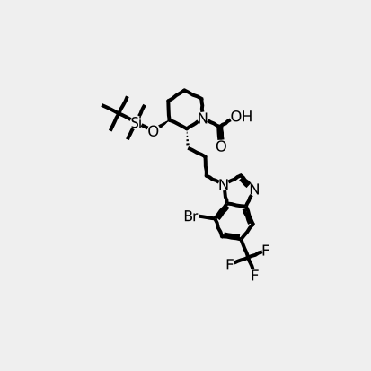 CC(C)(C)[Si](C)(C)O[C@H]1CCCN(C(=O)O)[C@@H]1CCCn1cnc2cc(C(F)(F)F)cc(Br)c21